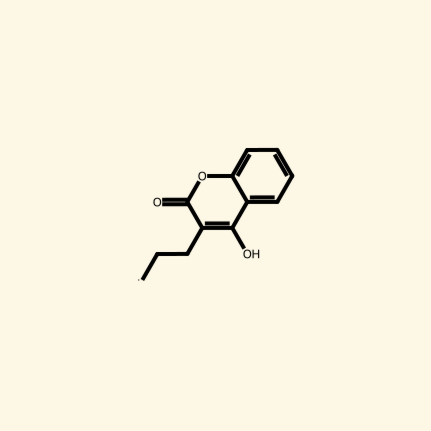 [CH2]CCc1c(O)c2ccccc2oc1=O